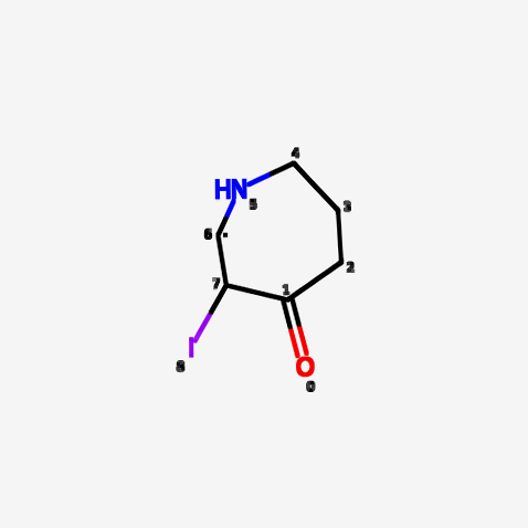 O=C1CCCN[CH]C1I